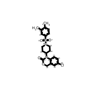 Cc1ccc(S(=O)(=O)N2CCC(N3C(=O)OCc4cc(Cl)ccc43)CC2)cc1C